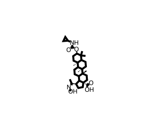 C/C(=N/O)[C@@H]1CC[C@]2(C(=O)O)CC[C@]3(C)C(CCC4[C@@]5(C)CC[C@@H](OC(=O)NC6CC6)C(C)(C)C5CC[C@]43C)C12